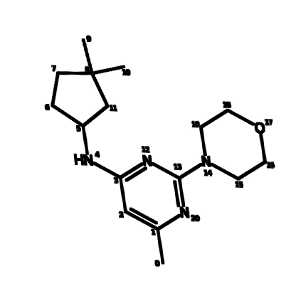 Cc1cc(NC2CCC(C)(C)C2)nc(N2CCOCC2)n1